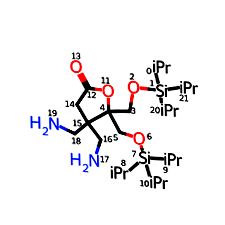 CC(C)[Si](OCC1(CO[Si](C(C)C)(C(C)C)C(C)C)OC(=O)CC1(CN)CN)(C(C)C)C(C)C